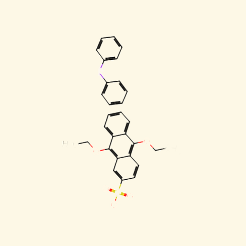 CCOc1c2ccccc2c(OCC)c2cc(S(=O)(=O)[O-])ccc12.c1ccc([I+]c2ccccc2)cc1